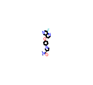 CN(C)C(=O)[C@@H]1CCN(c2ccc(Oc3ccnc4c(F)cncc34)cc2)C1